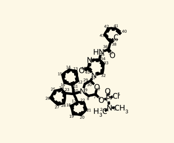 CN(C)P(=O)(Cl)OC1CN(C(c2ccccc2)(c2ccccc2)c2ccccc2)CC(n2ccc(NC(=O)c3ccccc3)nc2=O)O1